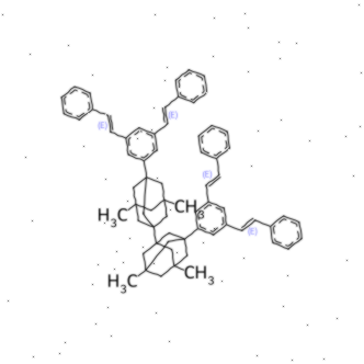 CC12CC3(C)CC(c4cc(/C=C/c5ccccc5)cc(/C=C/c5ccccc5)c4)(C1)CC(C14CC5(C)CC(C)(CC(c6cc(/C=C/c7ccccc7)cc(/C=C/c7ccccc7)c6)(C5)C1)C4)(C2)C3